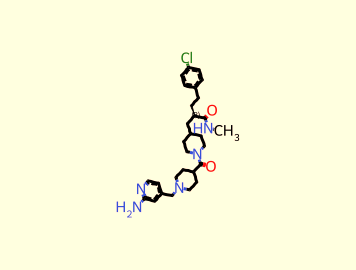 CNC(=O)[C@H](CCc1ccc(Cl)cc1)CC1CCN(C(=O)C2CCN(Cc3ccnc(N)c3)CC2)CC1